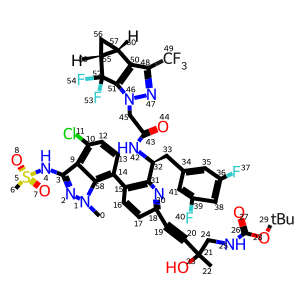 Cn1nc(NS(C)(=O)=O)c2c(Cl)ccc(-c3ccc(C#CC(C)(O)CNC(=O)OC(C)(C)C)nc3[C@H](Cc3cc(F)cc(F)c3)NC(=O)Cn3nc(C(F)(F)F)c4c3C(F)(F)[C@@H]3C[C@H]43)c21